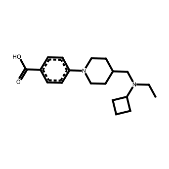 CCN(CC1CCN(c2ccc(C(=O)O)cc2)CC1)C1CCC1